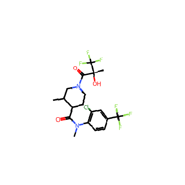 CC1CN(C(=O)[C@@](C)(O)C(F)(F)F)CCC1C(=O)N(C)c1ccc(C(F)(F)F)cc1Cl